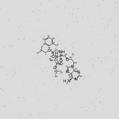 CC(C)COC(=O)[C@H](Cc1ccccc1)NP(=O)(CO[C@H](C)Cn1cnc2c(N)ncnc21)N[C@H](C)C(=O)OC(C)C